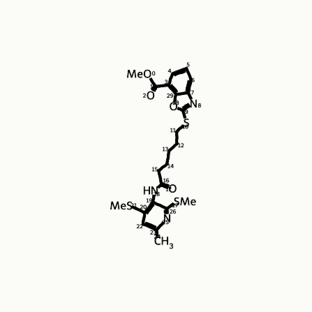 COC(=O)c1cccc2nc(SCCCCCC(=O)Nc3c(SC)cc(C)nc3SC)oc12